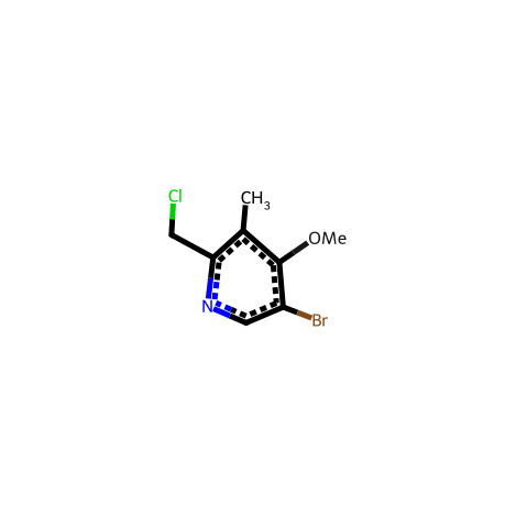 COc1c(Br)cnc(CCl)c1C